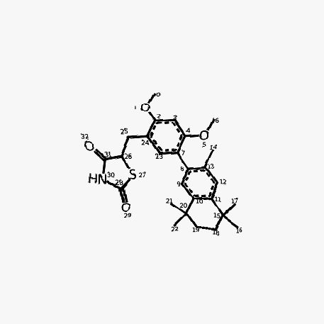 COc1cc(OC)c(-c2cc3c(cc2C)C(C)(C)CCC3(C)C)cc1CC1SC(=O)NC1=O